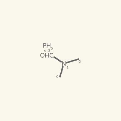 CN(C)C=O.P